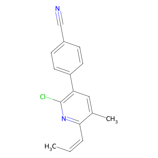 C/C=C\c1nc(Cl)c(-c2ccc(C#N)cc2)cc1C